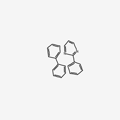 c1ccc(-c2ccccc2)cc1.c1ccc(-c2ncccn2)cc1